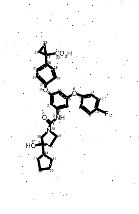 O=C(Nc1cc(Oc2ccc(F)cc2)cc(Oc2ccc(C3(C(=O)O)CC3)cc2)c1)N1CCC(O)(C2CCCC2)C1